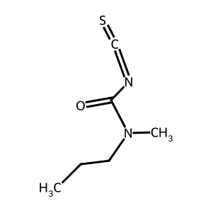 CCCN(C)C(=O)N=C=S